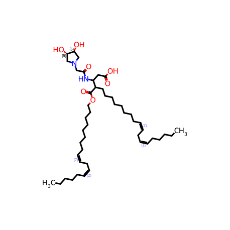 CCCCC/C=C\C/C=C\CCCCCCCCOC(=O)C(CCCCCCCC/C=C\C/C=C\CCCCC)C(CC(=O)O)NC(=O)CN1C[C@@H](O)[C@@H](O)C1